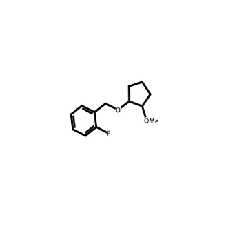 COC1CCCC1OCc1ccccc1F